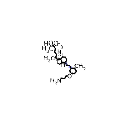 C=C1CC[C@H](OCCCN)C/C1=C\C=C1/CCC[C@]2(C)[C@@H]([C@H](C)CCCC(C)(C)O)CC[C@@H]12